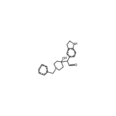 O=CC(c1ccc2c(c1)CCN2)C1(O)CCN(Cc2ccccc2)CC1